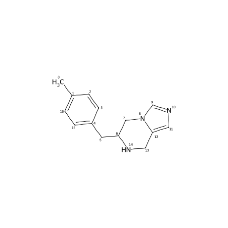 Cc1ccc(CC2Cn3cncc3CN2)cc1